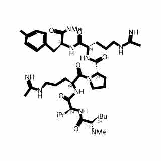 CC[C@H](C)[C@H](NC)C(=O)N[C@H](C(=O)N[C@@H](CCCNC(C)=N)C(=O)N1CCC[C@H]1C(=O)N[C@@H](CCCNC(C)=N)C(=O)N[C@@H](Cc1ccc(C)cc1)C(=O)NC)C(C)C